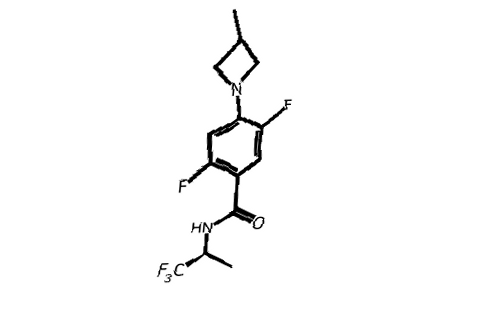 CC1CN(c2cc(F)c(C(=O)N[C@@H](C)C(F)(F)F)cc2F)C1